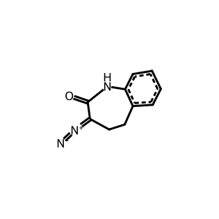 [N-]=[N+]=C1CCc2ccccc2NC1=O